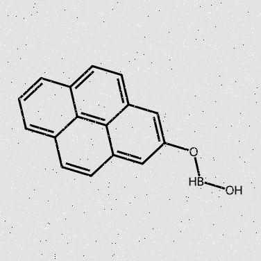 OBOc1cc2ccc3cccc4ccc(c1)c2c34